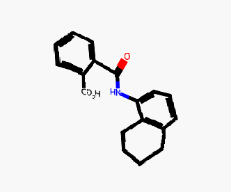 O=C(O)c1ccccc1C(=O)Nc1cccc2c1CCCC2